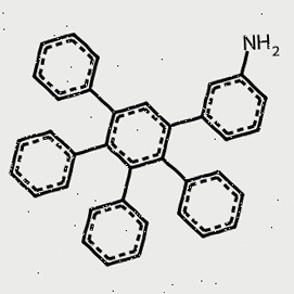 Nc1cccc(-c2cc(-c3ccccc3)c(-c3ccccc3)c(-c3ccccc3)c2-c2ccccc2)c1